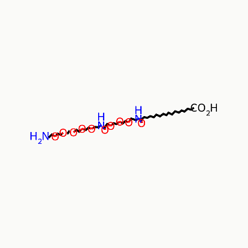 NCCOCCOCCOCCOCCOCCNC(=O)COCCOCCOCCNC(=O)CCCCCCCCCCCCCCCCC(=O)O